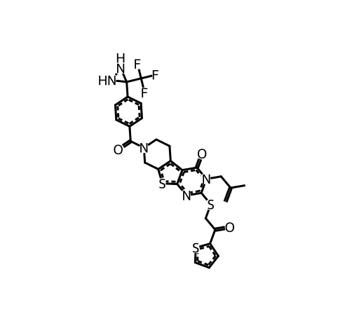 C=C(C)Cn1c(SCC(=O)c2cccs2)nc2sc3c(c2c1=O)CCN(C(=O)c1ccc(C2(C(F)(F)F)NN2)cc1)C3